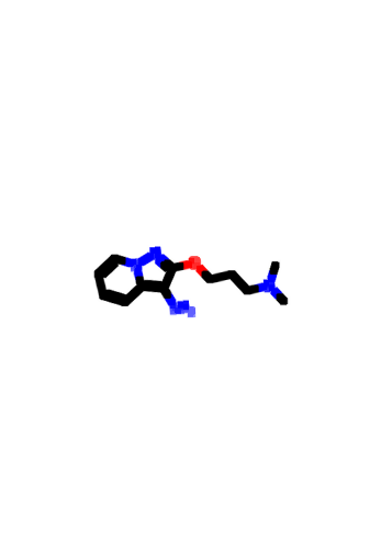 CN(C)CCCOc1nn2ccccc2c1N